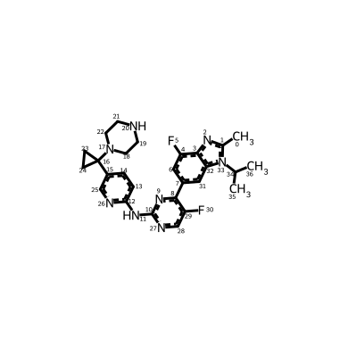 Cc1nc2c(F)cc(-c3nc(Nc4ccc(C5(N6CCNCC6)CC5)cn4)ncc3F)cc2n1C(C)C